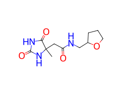 CC1(CC(=O)NCC2CCCO2)NC(=O)NC1=O